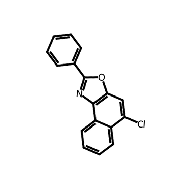 Clc1cc2oc(-c3ccccc3)nc2c2ccccc12